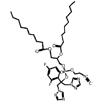 [C-]#[N+]CCOP(=O)(OCC(COC(=O)CCCCCCCCC)OC(=O)CCCCCCCCC)OC(Cn1cncn1)(Cn1cncn1)c1ccc(F)cc1F